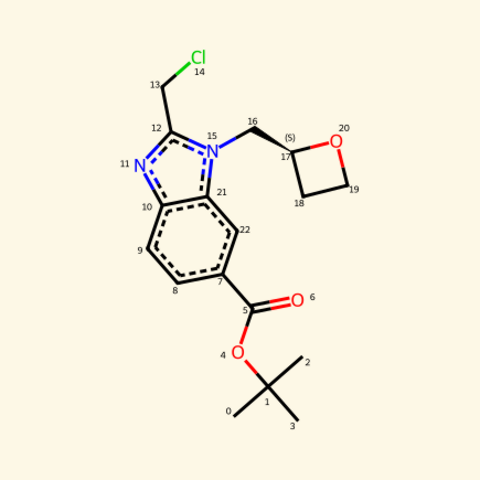 CC(C)(C)OC(=O)c1ccc2nc(CCl)n(C[C@@H]3CCO3)c2c1